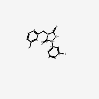 Cc1cccc(Cn2c(=O)sn(-c3cccc(Cl)c3)c2=O)c1